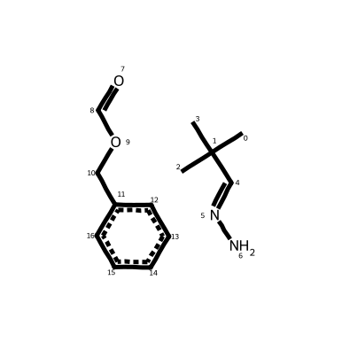 CC(C)(C)/C=N/N.O=COCc1ccccc1